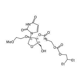 CCC(CC)COC(=O)OCS[PH](=O)O[C@@H]1[C@@H](CO)OC[C@]1(OCCOC)n1ccc(=O)[nH]c1=O